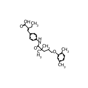 CC/C(=C\c1ccc(NC(=O)C(C)(C)CCCOc2cc(C)ccc2C)cc1)C(=O)O